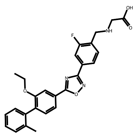 CCOc1cc(-c2nc(-c3ccc(CNCC(=O)O)c(F)c3)no2)ccc1-c1ccccc1C